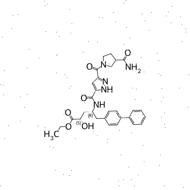 CCOC(=O)[C@@H](O)C[C@@H](Cc1ccc(-c2ccccc2)cc1)NC(=O)c1cc(C(=O)N2CCC(C(N)=O)C2)n[nH]1